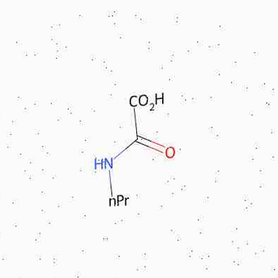 CCCNC(=O)C(=O)O